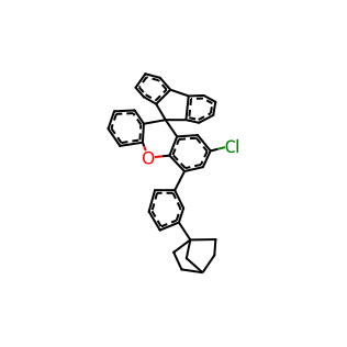 Clc1cc(-c2cccc(C34CCC(CC3)C4)c2)c2c(c1)C1(c3ccccc3O2)c2ccccc2-c2ccccc21